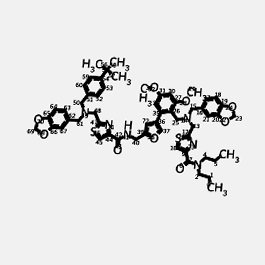 CCCN(CCC)C(=O)c1csc(CN(Cc2ccc3c(c2)OCO3)Cc2c(OC)cc(OC)cc2-c2coc(CNC(=O)c3csc(CN(Cc4ccc(C(C)(C)C)cc4)Cc4ccc5c(c4)OCO5)n3)c2)n1